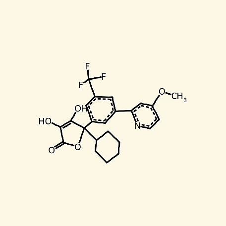 COc1ccnc(-c2cc(C(F)(F)F)cc(C3(C4CCCCC4)OC(=O)C(O)=C3O)c2)c1